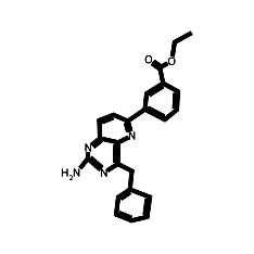 CCOC(=O)c1cccc(-c2ccc3nc(N)nc(Cc4ccccc4)c3n2)c1